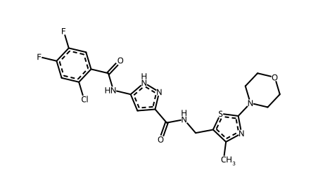 Cc1nc(N2CCOCC2)sc1CNC(=O)c1cc(NC(=O)c2cc(F)c(F)cc2Cl)[nH]n1